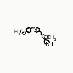 COc1ccc(CN2CCC(CCOCC3(OC)CCNCC3)CC2)cc1